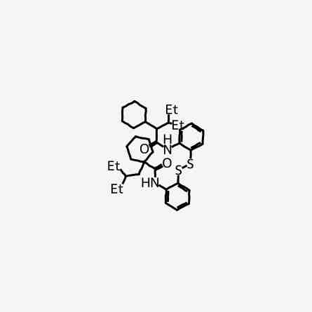 CCC(CC)CC1(C(=O)Nc2ccccc2SSc2ccccc2NC(=O)C(C(CC)CC)C2CCCCC2)CCCCC1